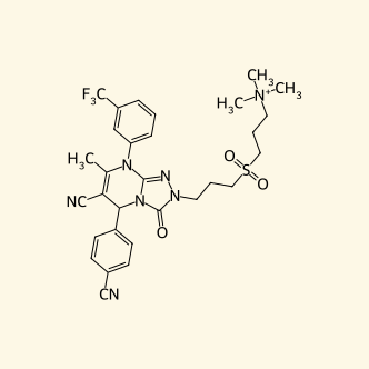 CC1=C(C#N)C(c2ccc(C#N)cc2)n2c(nn(CCCS(=O)(=O)CCC[N+](C)(C)C)c2=O)N1c1cccc(C(F)(F)F)c1